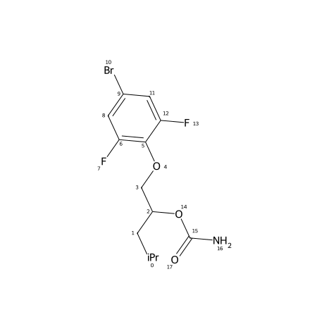 CC(C)CC(COc1c(F)cc(Br)cc1F)OC(N)=O